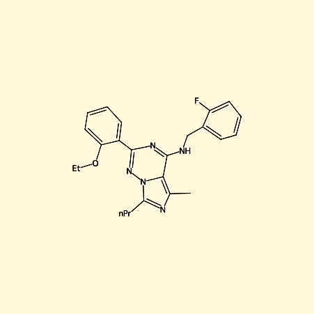 CCCc1nc(C)c2c(NCc3ccccc3F)nc(-c3ccccc3OCC)nn12